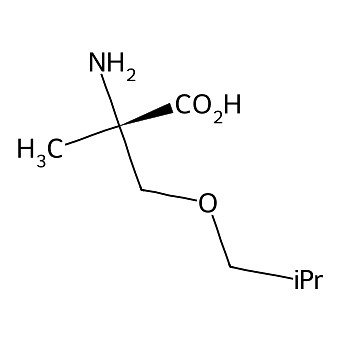 CC(C)COC[C@](C)(N)C(=O)O